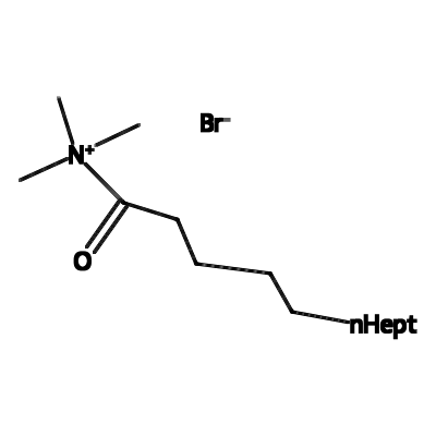 CCCCCCCCCCCC(=O)[N+](C)(C)C.[Br-]